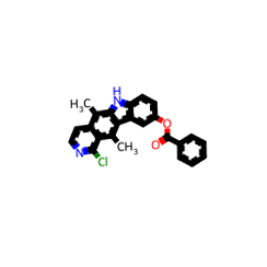 Cc1c2ccnc(Cl)c2c(C)c2c1[nH]c1ccc(OC(=O)c3ccccc3)cc12